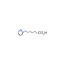 O=C(O)CCCCCCc1ccccn1